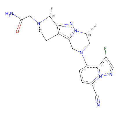 C[C@@H]1c2nn3c(c2CCN1CC(N)=O)CN(c1ccc(C#N)n2ncc(F)c12)C[C@H]3C